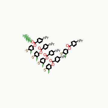 CCCc1ccc(C(=O)Oc2ccc([S])c(F)c2)cc1.CCCc1ccc(C(=O)Oc2ccc([S])c(F)c2)cc1.CCCc1ccc(C(=O)Oc2ccc([S])c(F)c2)cc1.CCCc1ccc(C(=O)Oc2ccc([S])c(F)c2)cc1.CCCc1ccc(C(=O)Oc2ccc([S])c(F)c2)cc1.F.F.F.F.F